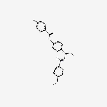 C/N=C(\N=C(/C)c1ccc(OC)cc1)c1ccc(NC(=O)c2ccc(I)cc2)cc1